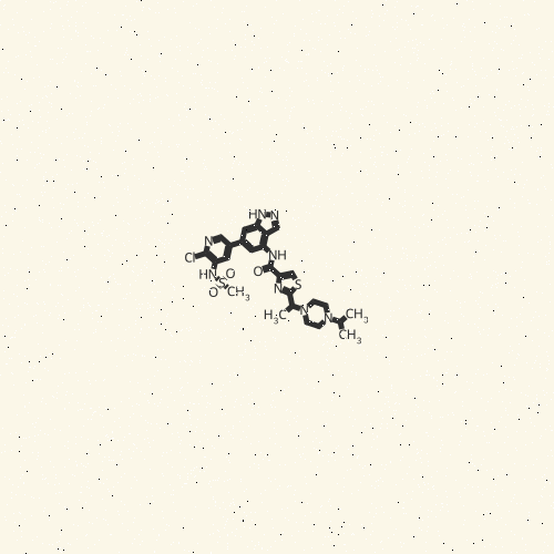 CC(C)N1CCN(C(C)c2nc(C(=O)Nc3cc(-c4cnc(Cl)c(NS(C)(=O)=O)c4)cc4[nH]ncc34)cs2)CC1